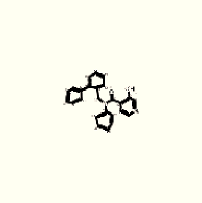 Cc1cnccc1C(=O)N(Cc1ccccc1-c1ccccc1)c1ccccc1